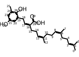 CC(C)=CCCC(C)=CCCC(C)=CCCC(=CCc1cc(O)cc(C)c1O)C(=O)O